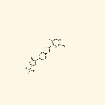 Cc1cnc(Cl)nc1NCc1ccc(-c2nc(C(F)(F)F)cn2C)cc1